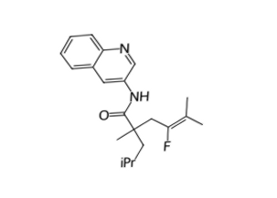 CC(C)=C(F)CC(C)(CC(C)C)C(=O)Nc1cnc2ccccc2c1